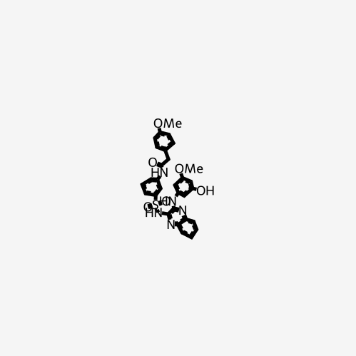 COc1ccc(CC(=O)Nc2cccc(S(=O)(=O)Nc3nc4ccccc4nc3Nc3cc(O)cc(OC)c3)c2)cc1